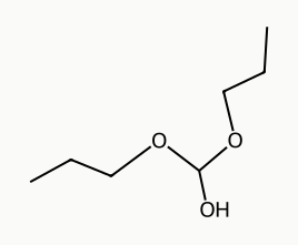 CCCOC(O)OCCC